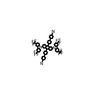 N#Cc1ccc(-c2ccc(-c3c4ccc(-n5c6ccc(C(F)(F)F)cc6c6cc(C(F)(F)F)ccc65)cc4c(-c4ccc(-c5ccc(C#N)cc5)cc4)c4ccc(-n5c6ccc(C(F)(F)F)cc6c6cc(C(F)(F)F)ccc65)cc34)cc2)cc1